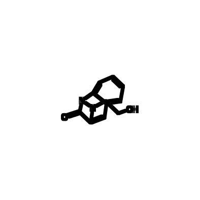 O=c1c2cc3ccccc3n1n2CCO